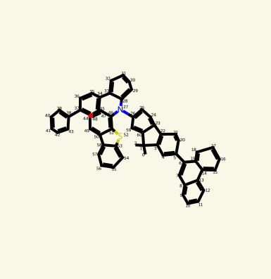 CC1(C)c2cc(-c3cc4ccccc4c4ccccc34)ccc2-c2ccc(N(c3ccccc3-c3ccc(-c4ccccc4)cc3)c3cccc4c3sc3ccccc34)cc21